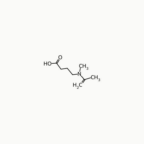 C=C(C)N(C)CCCC(=O)O